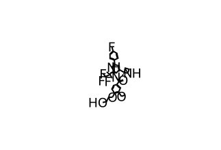 COc1cc(C(=O)NCC(C)(c2cc([C@]3(C)CCN3)cc(-c3ccc(F)cc3)n2)C(F)(F)F)ccc1OCCO